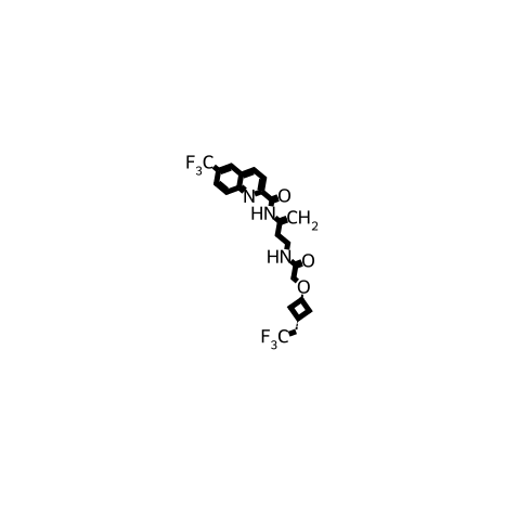 C=C(CCNC(=O)CO[C@H]1C[C@@H](CC(F)(F)F)C1)NC(=O)c1ccc2cc(C(F)(F)F)ccc2n1